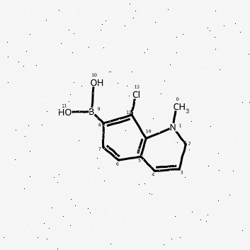 CN1CC=Cc2ccc(B(O)O)c(Cl)c21